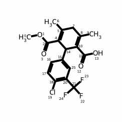 COC(=O)C1=C(C)CC(C)=C(C(=O)O)C1c1ccc(Cl)c(C(F)(F)F)c1